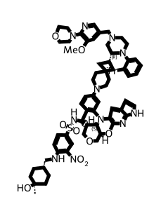 COc1cc(CN2CCN(c3ccccc3C(C)C)[C@H](C3CC4(CCN(c5ccc(C(=O)NS(=O)(=O)c6ccc(NC[C@H]7CC[C@](C)(O)CC7)c([N+](=O)[O-])c6)c(N6c7cc8cc[nH]c8nc7O[C@H]7COCC[C@@H]76)c5)CC4)C3)C2)cnc1N1CCOCC1